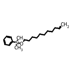 C=CCCCCCCCCCO[Si](C)(C)c1ccccc1